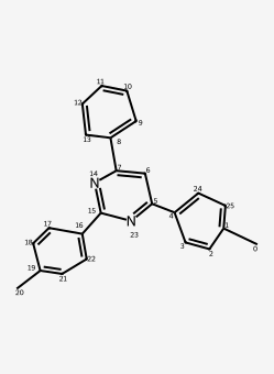 Cc1ccc(-c2cc(-c3ccccc3)nc(-c3ccc(C)cc3)n2)cc1